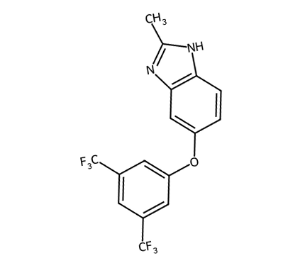 Cc1nc2cc(Oc3cc(C(F)(F)F)cc(C(F)(F)F)c3)ccc2[nH]1